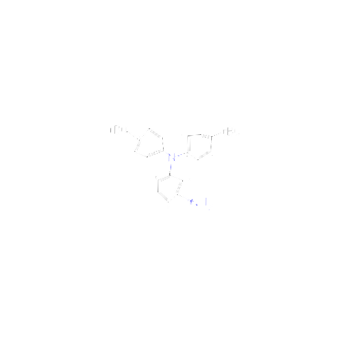 CC(C)(C)c1ccc(N(c2ccc(C(C)(C)C)cc2)c2cccc(N)c2)cc1